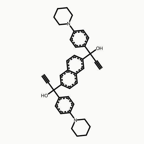 C#CC(O)(c1ccc(N2CCCCC2)cc1)c1ccc2cc(C(O)(C#C)c3ccc(N4CCCCC4)cc3)ccc2c1